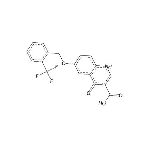 O=C(O)c1c[nH]c2ccc(OCc3ccccc3C(F)(F)F)cc2c1=O